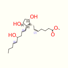 CCC/C=C/C(O)C/C=C/[C@@H]1[C@@H](C/C=C\CCCC(=O)OC)[C@@H](O)C[C@H]1O